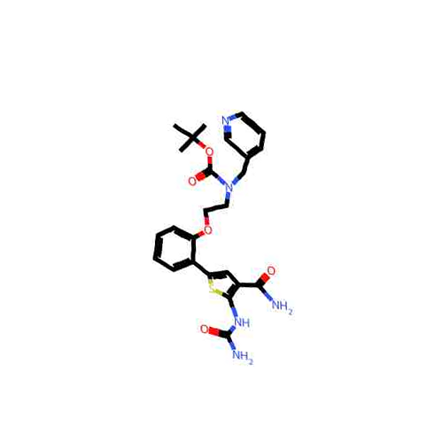 CC(C)(C)OC(=O)N(CCOc1ccccc1-c1cc(C(N)=O)c(NC(N)=O)s1)Cc1cccnc1